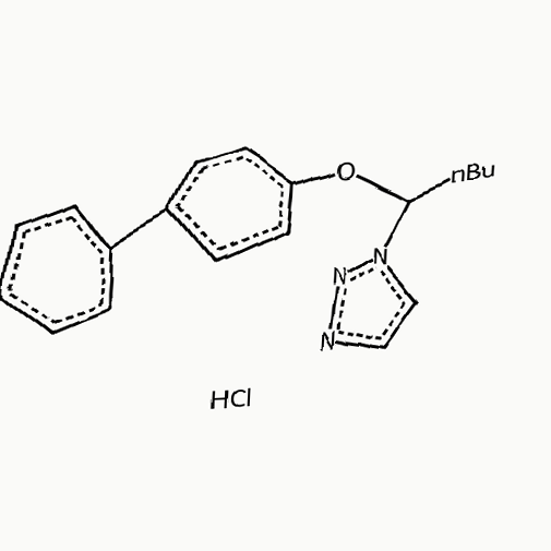 CCCCC(Oc1ccc(-c2ccccc2)cc1)n1ccnn1.Cl